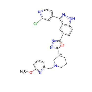 COc1cccc(CN2CCC[C@@H](c3nnc(-c4ccc5[nH]nc(-c6ccnc(Cl)c6)c5c4)o3)C2)n1